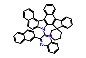 c1ccc2c(c1)-c1c(c3c(c4ccccc14)c1c4ccccc4ccc1n3-c1nc3ccccc3nc1-c1ccc3ccccc3c1)C21CCCCC1